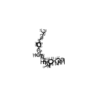 Cc1nc2cc(C3=NNC(=O)CC3)ccc2n1CCNCC(O)COc1ccc(CCOCC(C)C)cc1